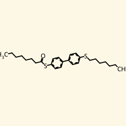 CCCCCCCSc1ccc(-c2ccc(SC(=O)CCCCCCC)cc2)cc1